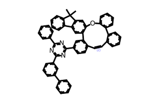 CC1(C)c2ccccc2-c2cc3c(cc21)Oc1ccccc1-c1ccccc1/C=C\c1ccc(-c2nc(-c4ccccc4)nc(-c4cccc(-c5ccccc5)c4)n2)cc1-3